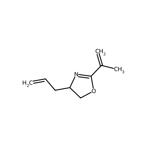 C=CCC1COC(C(=C)C)=N1